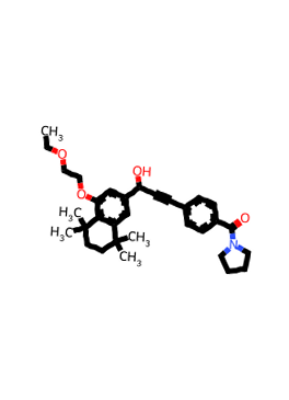 CCOCCOc1cc(C(O)C#Cc2ccc(C(=O)N3CCCC3)cc2)cc2c1C(C)(C)CCC2(C)C